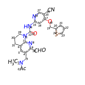 CC(=O)N(C)Cc1cc2c(nc1C=O)N(C(=O)Nc1cc(OCc3cccs3)c(C#N)cn1)CCC2